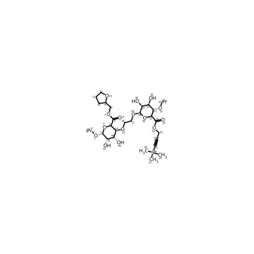 CC(C)O[C@@H]1OC(C(=O)OCC2CCCO2)[C@@H](OCCO[C@@H]2OC(C(=O)OCC#C[Si](C)(C)C)[C@@H](OC(C)C)[C@H](O)[C@@H]2O)[C@H](O)[C@@H]1O